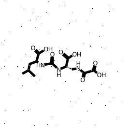 CC(C)CC(NC(=O)N[C@@H](CNC(=O)C(=O)O)C(=O)O)C(=O)O